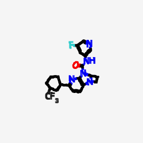 O=C(Nc1cncc(F)c1)N1c2nc(C3CCCC(C(F)(F)F)C3)ccc2N2CCC21